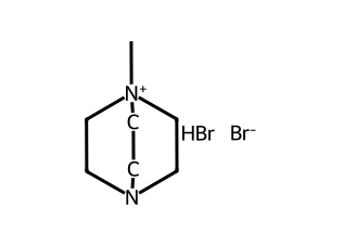 Br.C[N+]12CCN(CC1)CC2.[Br-]